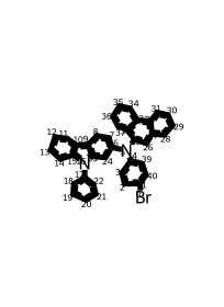 Brc1ccc(N(c2ccc3c4ccccc4n(-c4ccccc4)c3c2)c2cc3ccccc3c3ccccc23)cc1